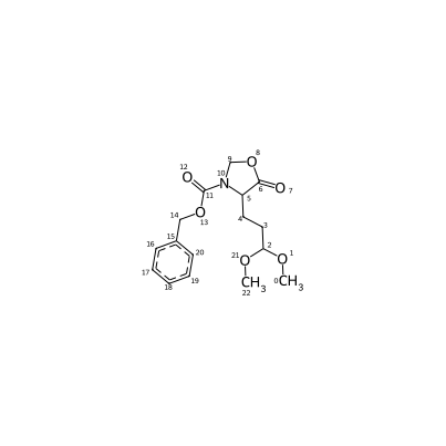 COC(CCC1C(=O)OCN1C(=O)OCc1ccccc1)OC